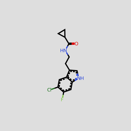 O=C(NCCc1c[nH]c2cc(F)c(Cl)cc12)C1CC1